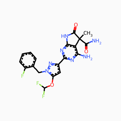 CC1(C(N)=O)C(=O)Nc2nc(-c3cc(OC(F)F)n(Cc4ccccc4F)n3)nc(N)c21